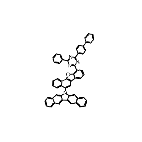 c1ccc(-c2ccc(-c3nc(-c4ccccc4)nc(-c4cccc5c4oc4c6ccccc6c(-n6c7cc8ccccc8cc7c7cc8ccccc8cc76)cc54)n3)cc2)cc1